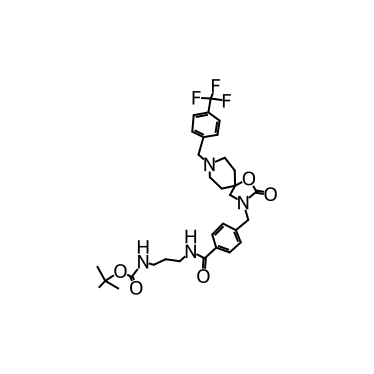 CC(C)(C)OC(=O)NCCCNC(=O)c1ccc(CN2CC3(CCN(Cc4ccc(C(F)(F)F)cc4)CC3)OC2=O)cc1